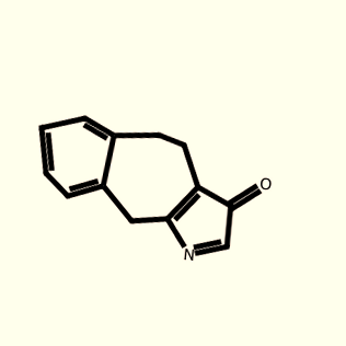 O=C1C=NC2=C1CCc1ccccc1C2